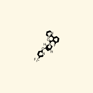 O=C(c1c(F)cccc1-c1ncccn1)N1C[C@H]2C[C@@H](Oc3ccc(C(F)(F)F)cn3)[C@@H]1C2